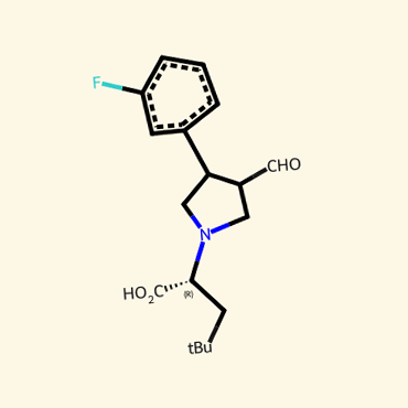 CC(C)(C)C[C@H](C(=O)O)N1CC(C=O)C(c2cccc(F)c2)C1